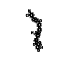 COC1(CN2CCN(c3ccc(C(=O)N4CCC5(CC4)CCN(c4ccc(C#N)c(Cl)c4)C5)cc3)CC2)CCN(c2ccc3c(c2)C(=O)N(C2CCC(=O)NC2=O)C3=O)CC1